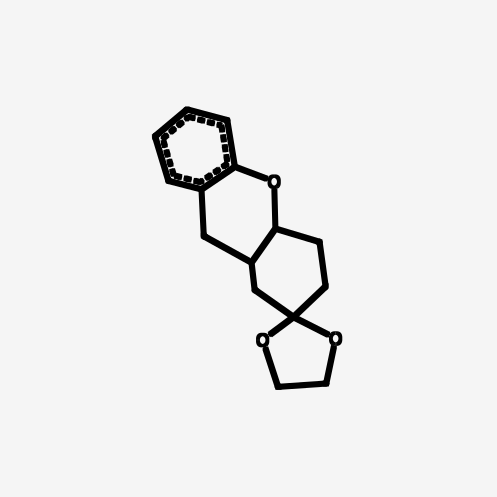 c1ccc2c(c1)CC1CC3(CCC1O2)OCCO3